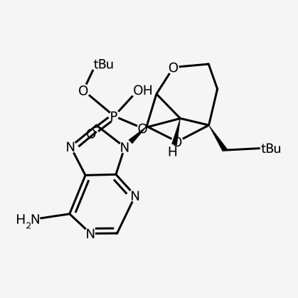 CC(C)(C)C[C@@]12CCOC([C@H](n3cnc4c(N)ncnc43)O1)[C@H]2OP(=O)(O)OC(C)(C)C